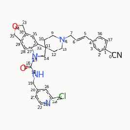 N#Cc1ccc(C=CCN2CCC3(CC2)CN(C(=O)NCc2ccnc(Cl)c2)c2cc4c(cc23)COC4)cc1